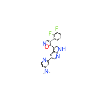 CN(C)c1ccnc(-c2cnc3[nH]cc(-c4oncc4-c4cccc(F)c4F)c3c2)c1